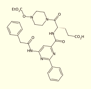 CCOC(=O)ON1CCN(C(=O)[C@H](CCC(=O)O)NC(=O)c2cc(NC(=O)Cc3ccccc3)nc(-c3ccccc3)n2)CC1